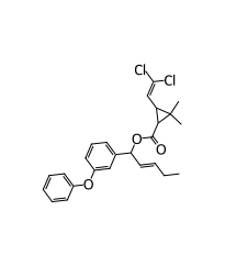 CCC=CC(OC(=O)C1C(C=C(Cl)Cl)C1(C)C)c1cccc(Oc2ccccc2)c1